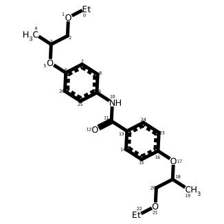 CCOCC(C)Oc1ccc(NC(=O)c2ccc(OC(C)COCC)cc2)cc1